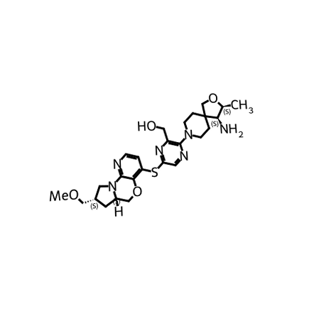 COC[C@H]1C[C@H]2COc3c(Sc4cnc(N5CCC6(CC5)CO[C@@H](C)[C@H]6N)c(CO)n4)ccnc3N2C1